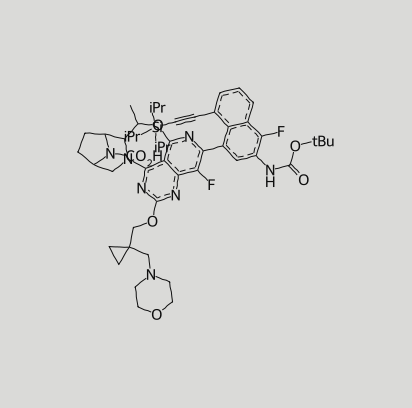 CC1Oc2nc(-c3cc(NC(=O)OC(C)(C)C)c(F)c4cccc(C#C[Si](C(C)C)(C(C)C)C(C)C)c34)c(F)c3nc(OCC4(CN5CCOCC5)CC4)nc(c23)N2CC3CCC(C12)N3C(=O)O